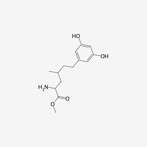 COC(=O)C(N)CC(C)CCc1cc(O)cc(O)c1